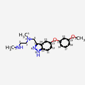 CNCCN(C)Cc1n[nH]c2ccc(Oc3cccc(OC)c3)cc12